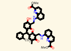 COC(=O)c1ccc2cccc(NCc3c4oc5c(CNc6cccc7ccc(C(=O)OC)nc67)c(O)ccc5c(-c5ccccc5C(=O)O)c-4cc(C)c3=O)c2n1